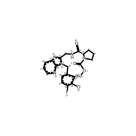 CC(C)(C)OC(=O)N1CCC[C@@H]1C(=O)NCc1nc2cccnc2n1Cc1ccc(F)c(Cl)c1